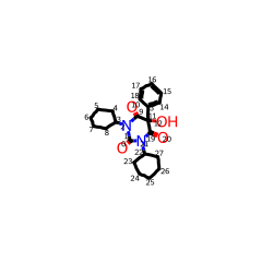 O=C1N(C2CCCCC2)C(=O)C(O)(c2ccccc2)C(=O)N1C1CCCCC1